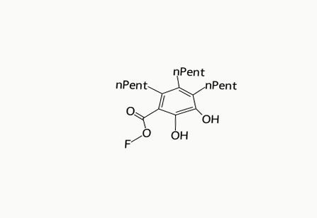 CCCCCc1c(O)c(O)c(C(=O)OF)c(CCCCC)c1CCCCC